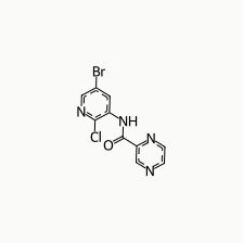 O=C(Nc1cc(Br)cnc1Cl)c1cnccn1